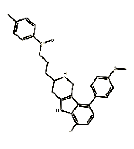 COc1ccc(-c2ccc(F)c3[nH]c4c(c23)CNC(CCC[S+]([O-])c2ccc(C)cc2)C4)cc1